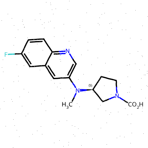 CN(c1cnc2ccc(F)cc2c1)[C@H]1CCN(C(=O)O)C1